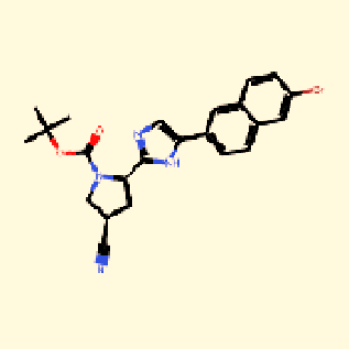 CC(C)(C)OC(=O)N1C[C@H](C#N)C[C@@H]1c1ncc(-c2ccc3cc(Br)ccc3c2)[nH]1